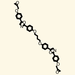 c1cc(-c2cnc(-c3ccc(OCC4CO4)cc3)o2)ccc1OCCCCOc1ccc(-c2ncc(-c3ccc(OCC4CO4)cc3)o2)cc1